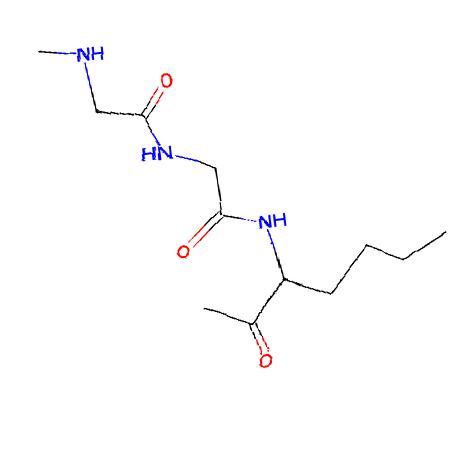 CCCCC(NC(=O)CNC(=O)CNC)C(C)=O